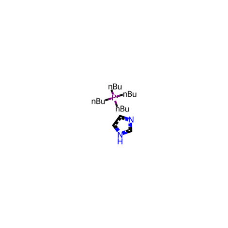 CCCC[P](CCCC)(CCCC)CCCC.c1c[nH]cn1